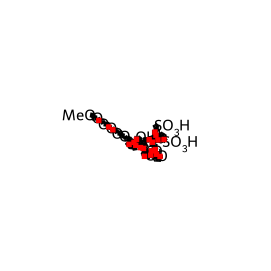 C=C(/C=C(/C=C/C=C1/N(CCCS(=O)(=O)O)c2ccc(S(=O)(=O)O)cc2C1(C)CCCC(=O)ON1C(=O)CCC1=O)c1cc2c(cc1O)N(CCOCCOCCOCCOCCOCCOC)C(C)(C)C=C2C)c1ccccc1